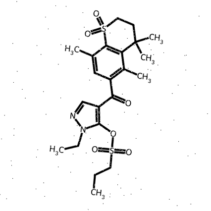 CCCS(=O)(=O)Oc1c(C(=O)c2cc(C)c3c(c2C)C(C)(C)CCS3(=O)=O)cnn1CC